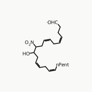 CCCCC/C=C\C/C=C\CC(O)C(C/C=C\C/C=C\CC[C]=O)[N+](=O)[O-]